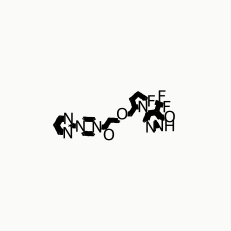 O=C(CCOCC1CCCN1c1cn[nH]c(=O)c1C(F)(F)F)N1CCN(c2ncccn2)CC1